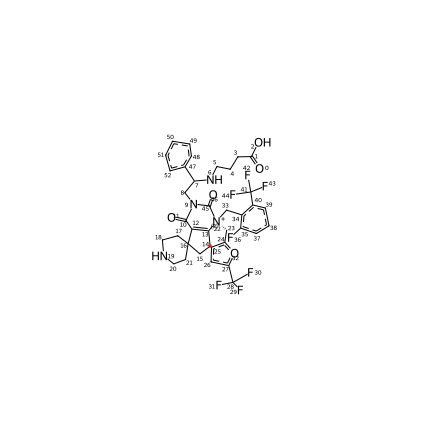 O=C(O)CCCNC(CN1C(=O)C2=C(CCC23CCNCC3)[N@+](Cc2ccc(C(F)(F)F)o2)(Cc2c(F)cccc2C(F)(F)F)C1=O)c1ccccc1